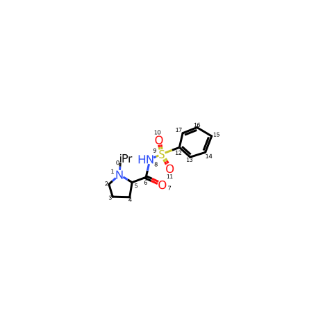 CC(C)N1CCCC1C(=O)NS(=O)(=O)c1ccccc1